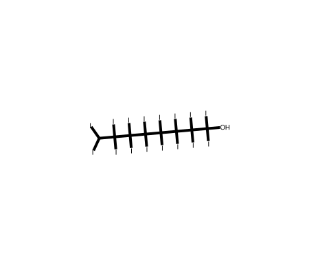 OC(I)(I)C(I)(I)C(I)(I)C(I)(I)C(I)(I)C(I)(I)C(I)(I)C(I)I